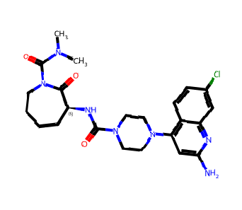 CN(C)C(=O)N1CCCC[C@H](NC(=O)N2CCN(c3cc(N)nc4cc(Cl)ccc34)CC2)C1=O